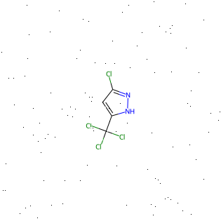 Clc1cc(C(Cl)(Cl)Cl)[nH]n1